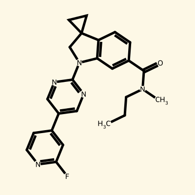 CCCN(C)C(=O)c1ccc2c(c1)N(c1ncc(-c3ccnc(F)c3)cn1)CC21CC1